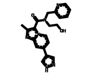 Cc1nc2cc(-c3cn[nH]c3)ccn2c1C(=O)N(CCO)Cc1ccccn1